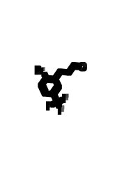 O=CCCc1cc(C(F)(F)F)ccc1Br